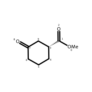 COC(=O)[C@@H]1CCCC(=O)C1